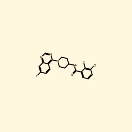 O=C(NC1CCN(c2ncnc3cc(F)ccc23)CC1)c1cccc(Cl)c1Cl